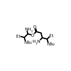 CCCCC(CC)C(N)CC(=O)OC(N)C(CC)CCCC